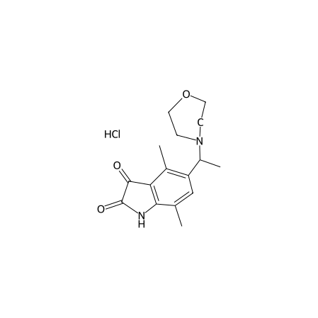 Cc1cc(C(C)N2CCOCC2)c(C)c2c1NC(=O)C2=O.Cl